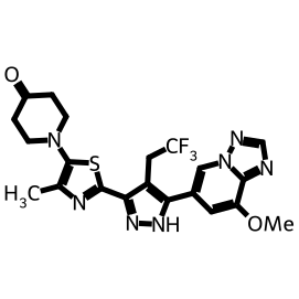 COc1cc(-c2[nH]nc(-c3nc(C)c(N4CCC(=O)CC4)s3)c2CC(F)(F)F)cn2ncnc12